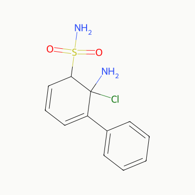 NC1(Cl)C(c2ccccc2)=CC=CC1S(N)(=O)=O